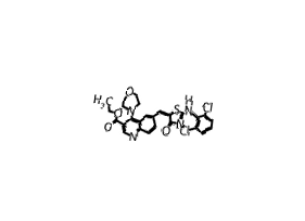 CCOC(=O)c1cnc2ccc(C=C3SC(Nc4c(Cl)cccc4Cl)=NC3=O)cc2c1N1CCOCC1